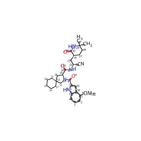 COc1cccc2[nH]c(C(=O)N3CC4(CCCCC4)CC3C(=O)N[C@H](C#N)C[C@@H]3CCC(C)(C)NC3=O)cc12